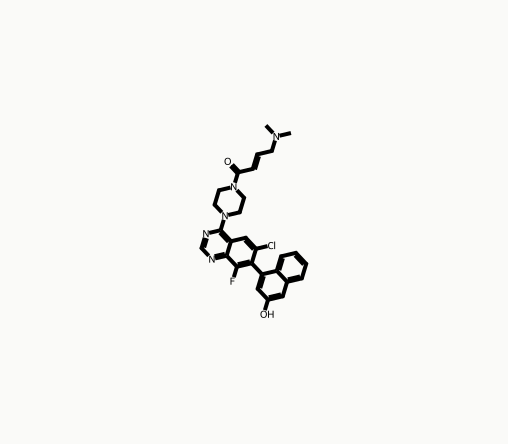 CN(C)CC=CC(=O)N1CCN(c2ncnc3c(F)c(-c4cc(O)cc5ccccc45)c(Cl)cc23)CC1